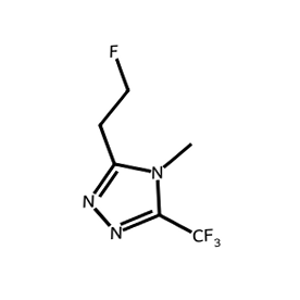 Cn1c(CCF)nnc1C(F)(F)F